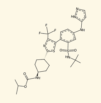 CC(C)OC(=O)N[C@H]1CC[C@H](c2nc(C(F)(F)F)c(-c3ccc(Nc4ccn[nH]4)cc3S(=O)(=O)NC(C)(C)C)s2)CC1